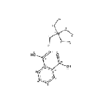 CC[N+](CC)(CC)CC.O=C(O)c1ccccc1C(=O)O